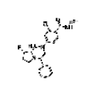 CCCNC(=O)c1ccc(N(C)C[C@@H](c2ccccc2)N2CC[C@H](F)C2)cc1Cl